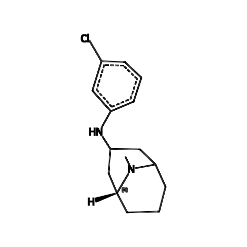 CN1C2CCC[C@@H]1CC(Nc1cccc(Cl)c1)C2